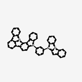 c1cc(-n2c3ccccc3c3c2ccc2c4cccc5c6ccccc6n(c54)c23)cc(-n2c3ccccc3n3c4ccccc4cc23)c1